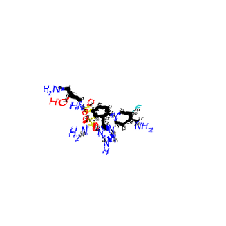 NC[C@@H](O)CNS(=O)(=O)c1ccc(N2CC[C@H](CN)[C@H](F)C2)c(-c2nn[nH]n2)c1S(N)(=O)=O